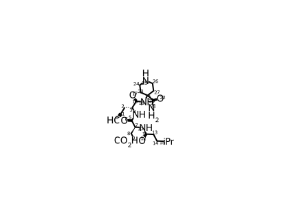 C#CC[C@@H](NC(=O)[C@H](CC(=O)O)NC(=O)CCC(C)C)C(=O)NC1(C(N)=O)CCNCC1